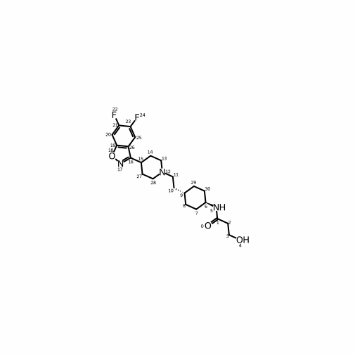 O=C(CCO)N[C@H]1CC[C@H](CCN2CCC(c3noc4cc(F)c(F)cc34)CC2)CC1